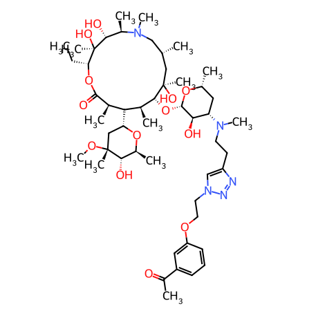 CC[C@H]1OC(=O)[C@H](C)C([C@H]2C[C@@](C)(OC)[C@@H](O)[C@H](C)O2)[C@H](C)[C@@H](O[C@@H]2O[C@H](C)C[C@H](N(C)CCc3cn(CCOc4cccc(C(C)=O)c4)nn3)[C@H]2O)[C@](C)(O)C[C@@H](C)CN(C)[C@H](C)[C@@H](O)[C@]1(C)O